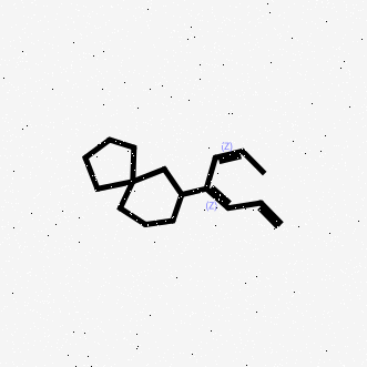 C=C/C=C(\C=C/C)C1CCCC2(CCCC2)C1